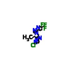 CCCc1c(Cn2ccnc2-c2ccc(C(F)(F)F)cn2)nc2ccc(Cl)nn12